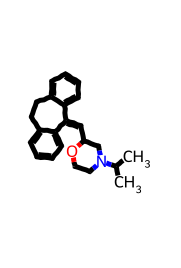 CC(C)N1CCOC(C=C2c3ccccc3CCc3ccccc32)C1